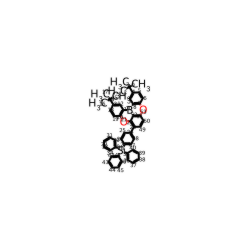 CC(C)(C)c1ccc2c(c1)B1c3cc(C(C)(C)C)ccc3Oc3c(-c4ccc([Si](c5ccccc5)(c5ccccc5)c5ccccc5)cc4)ccc(c31)O2